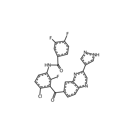 O=C(Nc1ccc(Cl)c(C(=O)c2ccc3ncc(-c4cn[nH]c4)nc3c2)c1F)c1ccc(F)c(F)c1